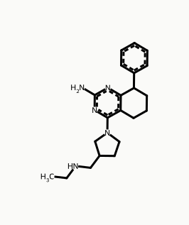 CCNCC1CCN(c2nc(N)nc3c2CCCC3c2ccccc2)C1